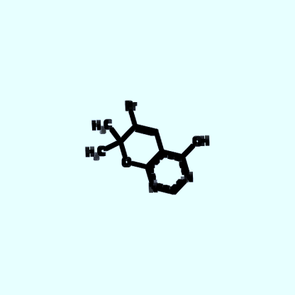 CC1(C)Oc2ncnc(O)c2C=C1Br